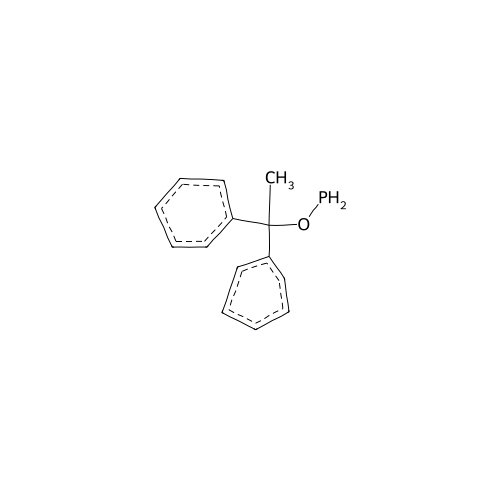 CC(OP)(c1ccccc1)c1ccccc1